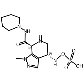 Cn1ncc2c1[C@@H](C(=O)NN1CCCCC1)NC[C@@H]2NOS(=O)(=O)O